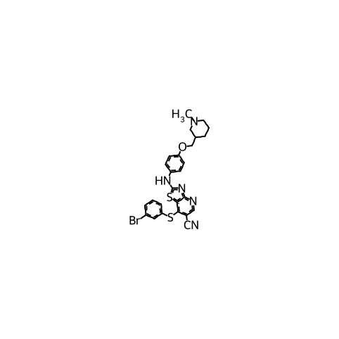 CN1CCCC(COc2ccc(Nc3nc4ncc(C#N)c(Sc5cccc(Br)c5)c4s3)cc2)C1